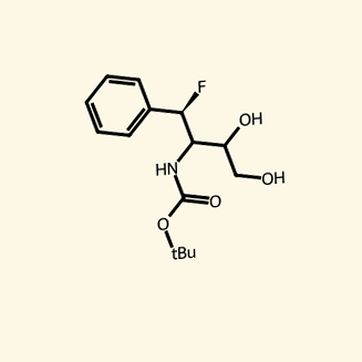 CC(C)(C)OC(=O)NC(C(O)CO)[C@H](F)c1ccccc1